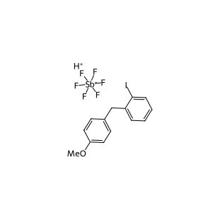 COc1ccc(Cc2ccccc2I)cc1.[F][Sb-]([F])([F])([F])([F])[F].[H+]